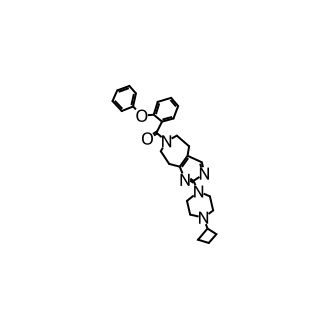 O=C(c1ccccc1Oc1ccccc1)N1CCc2cnc(N3CCN(C4CCC4)CC3)nc2CC1